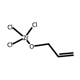 C=CC[O][Zr]([Cl])([Cl])[Cl]